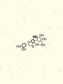 O=C1C[C@H](c2ccc(O)c(O)c2)Oc2cc(O)c(C3CC(CO)C(O)C(O)C3O)c(O)c21